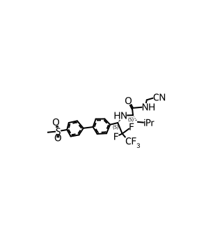 CC(C)C[C@H](N[C@@H](c1ccc(-c2ccc(S(C)(=O)=O)cc2)cc1)C(F)(F)C(F)(F)F)C(=O)NCC#N